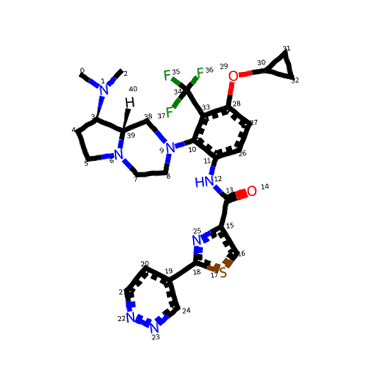 CN(C)[C@@H]1CCN2CCN(c3c(NC(=O)c4csc(-c5ccnnc5)n4)ccc(OC4CC4)c3C(F)(F)F)C[C@@H]12